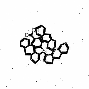 O=C(O)c1ccc([Si](c2cccc3cc4ccccc4cc23)(c2cccc3cc4ccccc4cc23)c2cccc3cc4ccccc4cc23)cc1